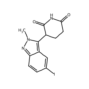 Cn1nc2ccc(I)cc2c1C1CCC(=O)NC1=O